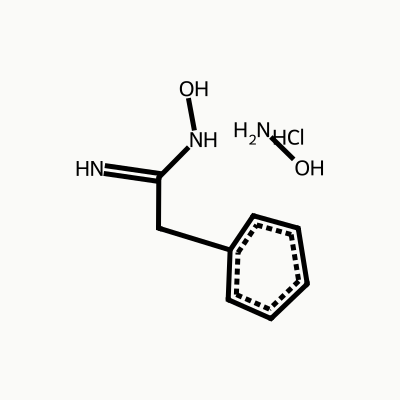 Cl.N=C(Cc1ccccc1)NO.NO